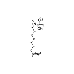 CCCCCCCCCCCCCCN(C)C(C)(O)O